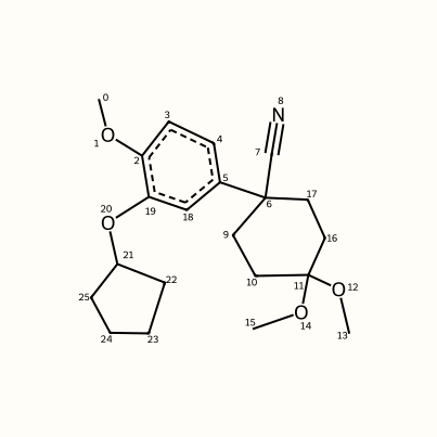 COc1ccc(C2(C#N)CCC(OC)(OC)CC2)cc1OC1CCCC1